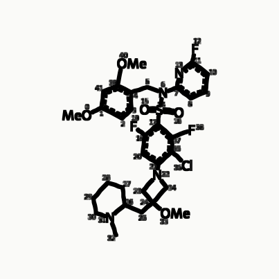 COc1ccc(CN(c2cccc(F)n2)S(=O)(=O)c2c(F)cc(N3CC(CC4CCCCN4C)(OC)C3)c(Cl)c2F)c(OC)c1